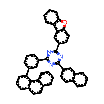 c1cc(-c2nc(-c3ccc4ccccc4c3)nc(-c3ccc4oc5ccccc5c4c3)n2)cc(-c2cccc3ccc4ccccc4c23)c1